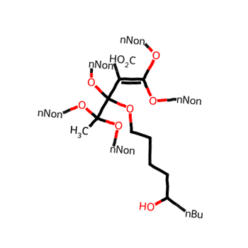 CCCCCCCCCOC(OCCCCCCCCC)=C(C(=O)O)C(OCCCCCCCCC)(OCCCCC(O)CCCC)C(C)(OCCCCCCCCC)OCCCCCCCCC